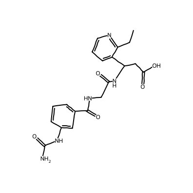 CCc1ncccc1C(CC(=O)O)NC(=O)CNC(=O)c1cccc(NC(N)=O)c1